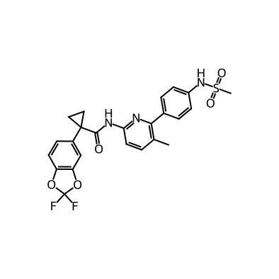 Cc1ccc(NC(=O)C2(c3ccc4c(c3)OC(F)(F)O4)CC2)nc1-c1ccc(NS(C)(=O)=O)cc1